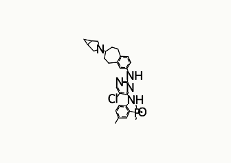 Cc1ccc(Nc2nc(Nc3ccc4c(c3)CCC(N3CC5CC5C3)CC4)ncc2Cl)c(P(C)(C)=O)c1